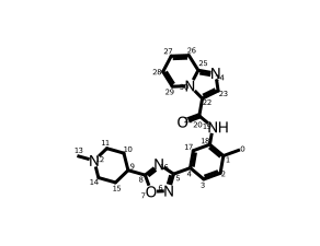 Cc1ccc(-c2noc(C3CCN(C)CC3)n2)cc1NC(=O)c1cnc2ccccn12